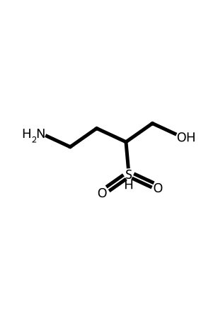 NCCC(CO)[SH](=O)=O